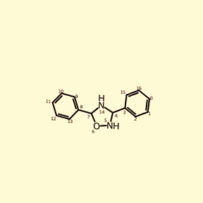 c1ccc(C2NOC(c3ccccc3)N2)cc1